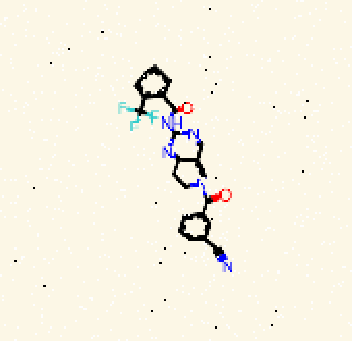 N#Cc1cccc(C(=O)N2C=C3C=NC(NC(=O)c4ccccc4C(F)(F)F)N=C3CC2)c1